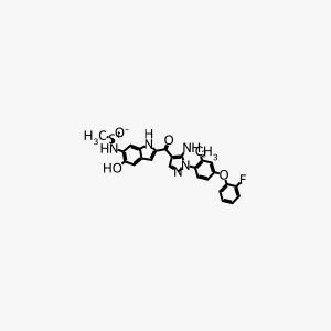 Cc1cc(Oc2ccccc2F)ccc1-n1ncc(C(=O)c2cc3cc(O)c(N[S+](C)[O-])cc3[nH]2)c1N